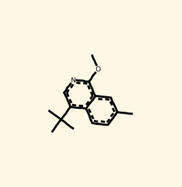 COc1ncc(C(C)(C)C)c2ccc(C)cc12